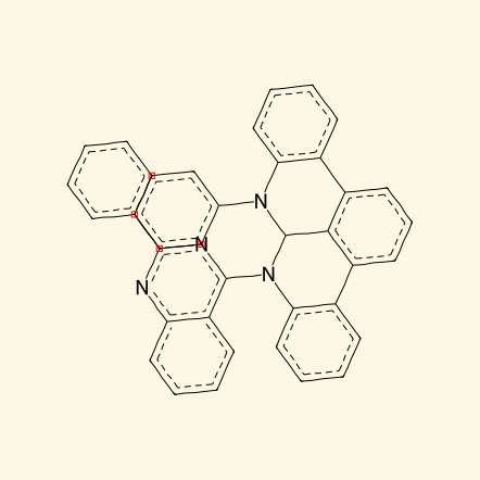 c1ccc(-c2nc(N3c4ccccc4-c4cccc5c4C3N(c3ccccc3)c3ccccc3-5)c3ccccc3n2)cc1